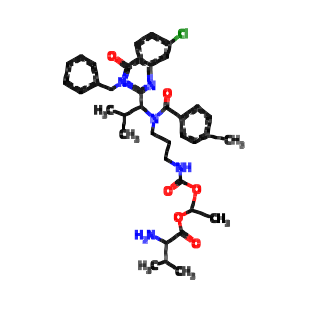 Cc1ccc(C(=O)N(CCCNC(=O)OC(C)OC(=O)C(N)C(C)C)C(c2nc3cc(Cl)ccc3c(=O)n2Cc2ccccc2)C(C)C)cc1